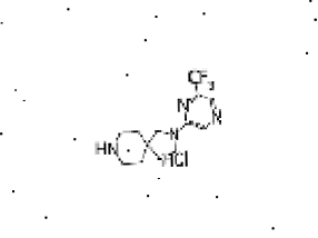 Cl.FC(F)(F)c1cncc(N2CCC3(CCNCC3)C2)n1